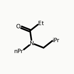 CCCN(CC(C)C)C(=O)CC